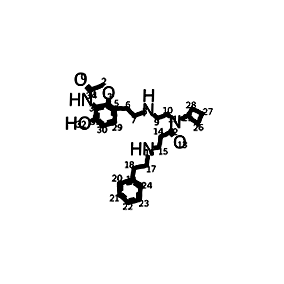 O=C1COc2c(CCNCCN(C(=O)CCNCCc3ccccc3)C3CCC3)ccc(O)c2N1